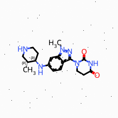 C[C@@H]1CNCC[C@H]1Nc1ccc2c(N3CCC(=O)NC3=O)nn(C)c2c1